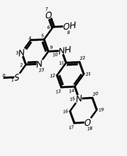 CSc1ncc(C(=O)O)c(Nc2ccc(N3CCOCC3)cc2)n1